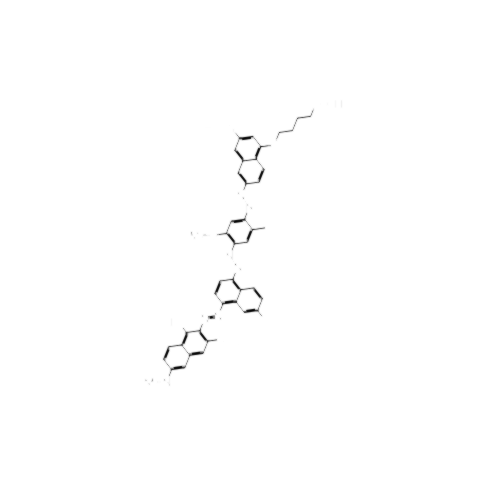 CNc1ccc2c(O)c(N=Nc3ccc(N=Nc4cc(C)c(N=Nc5ccc6c(OCCCCS(=O)(=O)O)cc(S(=O)(=O)O)cc6c5)cc4OC)c4ccc(S(=O)(=O)O)cc34)c(S(=O)(=O)O)cc2c1